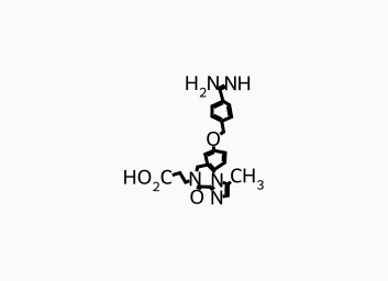 Cc1cnc2n1-c1ccc(OCc3ccc(C(=N)N)cc3)cc1CN(CCC(=O)O)C2=O